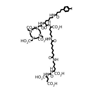 O=C(O)CC[C@H](NC(=O)N[C@@H](CCCCNC(=O)CCCCCCC(=O)NCCCCC(NC(=O)C(CCCCNC(=O)CCCc1ccc(I)cc1)NC(=O)CN1CCN(CC(=O)O)CCN(CC(=O)O)CCN(CC(=O)O)CC1)C(=O)O)C(=O)O)C(=O)O